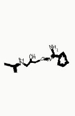 CC(C)NCC(O)CON=C(N)c1ccccc1